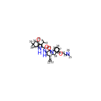 CC(C)c1c(C(=O)NC(CCC2CC2)C(=O)N2CCc3c(OCCN(C)C)cccc32)[nH]c2c1C(=O)CC(C)(C)C2